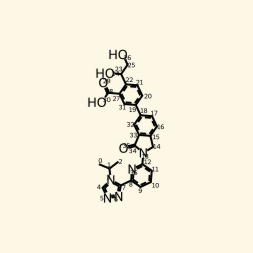 CC(C)n1cnnc1-c1cccc(N2Cc3ccc(-c4ccc(C(O)CO)c(C(=O)O)c4)cc3C2=O)n1